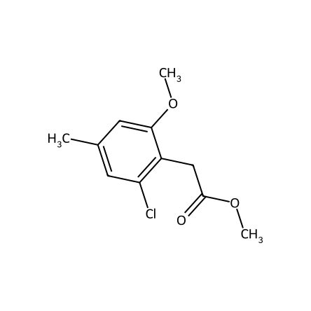 COC(=O)Cc1c(Cl)cc(C)cc1OC